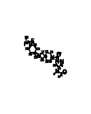 CC(=O)N(C)c1cnn(C(=O)N2CCC3(CC2)CN(Cc2ccc(C(F)(F)F)cc2)C3)c1